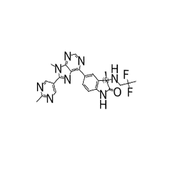 Cc1ncc(-c2nc3c(-c4ccc5c(c4)[C@](C)(NCC(C)(F)F)C(=O)N5)ncnc3n2C)cn1